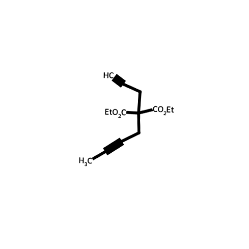 C#CCC(CC#CC)(C(=O)OCC)C(=O)OCC